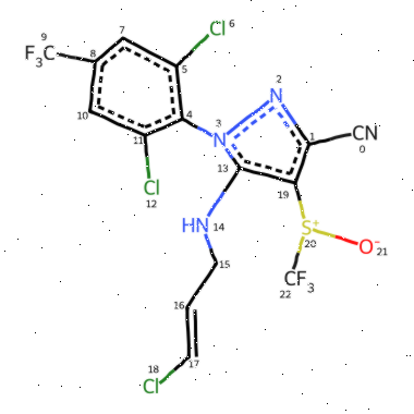 N#Cc1nn(-c2c(Cl)cc(C(F)(F)F)cc2Cl)c(NC/C=C/Cl)c1[S+]([O-])C(F)(F)F